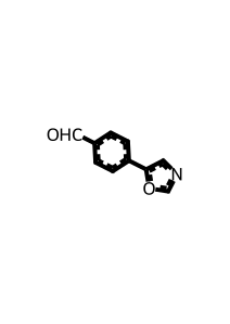 O=Cc1ccc(-c2cnco2)cc1